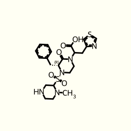 CN1CCNCC1S(=O)(=O)N1CCN(C(Cc2cscn2)C(=O)O)C(=O)[C@H]1Cc1ccccc1